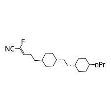 CCC[C@H]1CC[C@H](CC[C@H]2CC[C@H](CC/C=C(\F)C#N)CC2)CC1